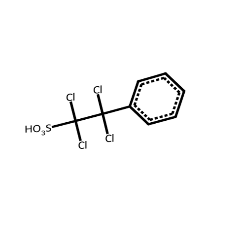 O=S(=O)(O)C(Cl)(Cl)C(Cl)(Cl)c1ccccc1